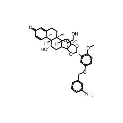 COc1ccc(OCc2cccc(N)c2)cc1[C@H]1O[C@@H]2C[C@H]3[C@@H]4CCC5=CC(=O)C=C[C@]5(C)[C@H]4[C@@H](O)C[C@]3(C)[C@]2(C(=O)CO)O1